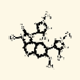 COc1cc2ncc3c(c2cc1-c1cn(C)nc1C)n(-c1cn(C)nc1C)c(=O)n3C